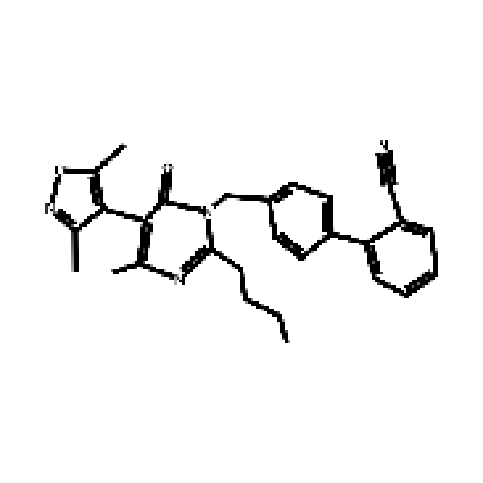 CCCCc1nc(C)c(-c2c(C)noc2C)c(=O)n1Cc1ccc(-c2ccccc2C#N)cc1